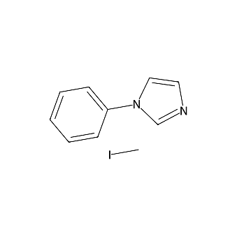 CI.c1ccc(-n2ccnc2)cc1